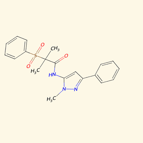 Cn1nc(-c2ccccc2)cc1NC(=O)C(C)(C)S(=O)(=O)c1ccccc1